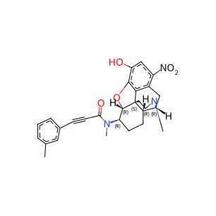 Cc1cccc(C#CC(=O)N(C)[C@@H]2CC[C@H]3[C@H]4Cc5c([N+](=O)[O-])cc(O)c6c5[C@@]3(CCN4C)[C@H]2O6)c1